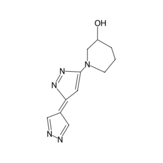 OC1CCCN(C2=CC(=C3C=NN=C3)N=N2)C1